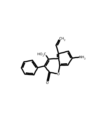 C=Cc1cc(N)cc2oc(=O)c(-c3ccccc3)c(C(=O)O)c12